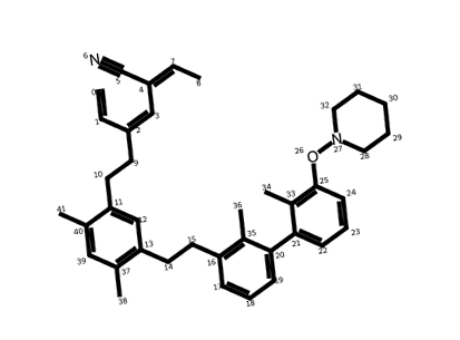 C=C/C(=C\C(C#N)=C/C)CCc1cc(CCc2cccc(-c3cccc(ON4CCCCC4)c3C)c2C)c(C)cc1C